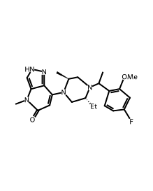 CC[C@@H]1CN(c2cc(=O)n(C)c3c[nH]nc23)[C@@H](C)CN1C(C)c1ccc(F)cc1OC